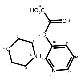 C1COCCN1.O=C(O)C(=O)Oc1cccnc1